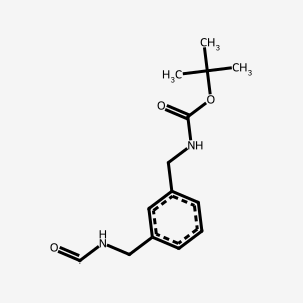 CC(C)(C)OC(=O)NCc1cccc(CN[C]=O)c1